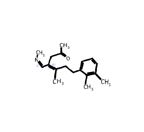 C/N=C\C(CC(C)=O)=C(/C)CCc1cccc(C)c1C